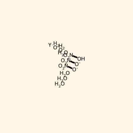 O.O.O.O.O.O.O=[N+]([O-])O.O=[N+]([O-])[O-].O=[N+]([O-])[O-].[Y]